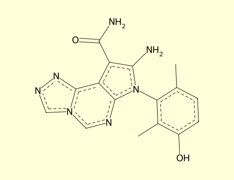 Cc1ccc(O)c(C)c1-n1c(N)c(C(N)=O)c2c1ncn1cnnc21